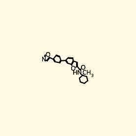 CC1(NC(=O)c2cc3ccc(-c4ccc(-c5cnco5)cc4)cc3o2)CCCCC1